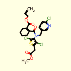 C=CCOC(=O)C1=C(C(=O)N(Cc2ccc(Cl)nc2)c2c(Cl)sc(CC(=O)OC)c2Cl)CCCC1